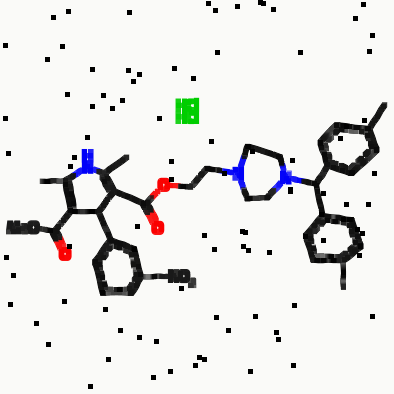 COC(=O)C1=C(C)NC(C)=C(C(=O)OCCN2CCN(C(c3ccc(C)cc3)c3ccc(C)cc3)CC2)C1c1cccc([N+](=O)[O-])c1.Cl.Cl